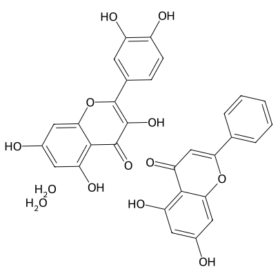 O.O.O=c1c(O)c(-c2ccc(O)c(O)c2)oc2cc(O)cc(O)c12.O=c1cc(-c2ccccc2)oc2cc(O)cc(O)c12